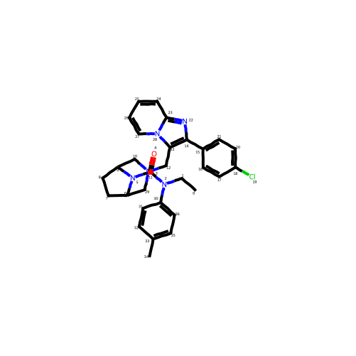 CCN(C(=O)N1C2CCC1CN(Cc1c(-c3ccc(Cl)cc3)nc3ccccn13)C2)c1ccc(C)cc1